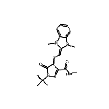 CNC(=O)C1=NN(C(C)(C)C)C(=O)/C1=C/C=C1N(C)c2ccccc2N1C